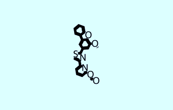 COc1cc(-c2nc(-c3cccc(OC=O)n3)cs2)cc2c1oc1ccccc12